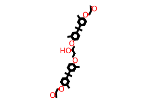 Cc1cc(C(C)(C)c2ccc(OCC3CO3)c(C)c2)ccc1OCCC(O)COc1ccc(C(C)(C)c2ccc(OCC3CO3)c(C)c2)cc1C